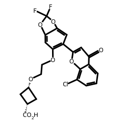 O=c1cc(-c2cc3c(cc2OCCO[C@H]2C[C@@H](C(=O)O)C2)OC(F)(F)O3)oc2c(Cl)cccc12